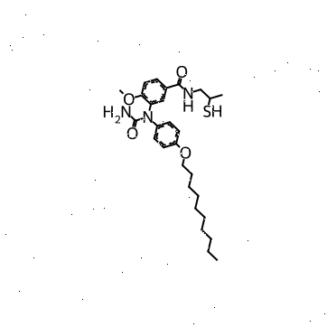 CCCCCCCCCCOc1ccc(N(C(N)=O)c2cc(C(=O)NCC(C)S)ccc2OC)cc1